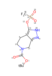 CC(C)(C)OC(=O)N1CCc2c(n[nH]c2OS(=O)(=O)C(F)(F)F)C1